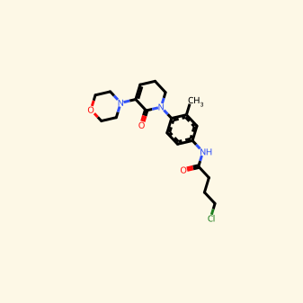 Cc1cc(NC(=O)CCCCl)ccc1N1CCC=C(N2CCOCC2)C1=O